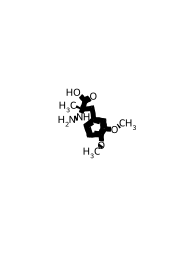 COc1ccc(C[C@](C)(NN)C(=O)O)cc1OC